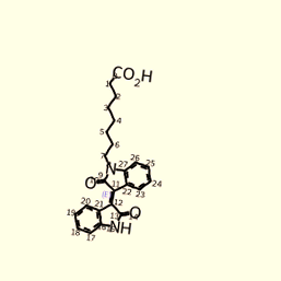 O=C(O)CCCCCCCN1C(=O)/C(=C2/C(=O)Nc3ccccc32)c2ccccc21